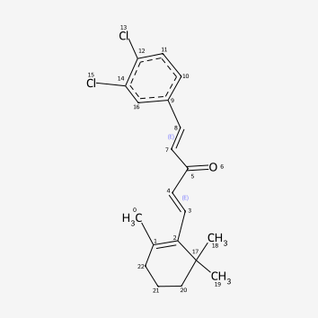 CC1=C(/C=C/C(=O)/C=C/c2ccc(Cl)c(Cl)c2)C(C)(C)CCC1